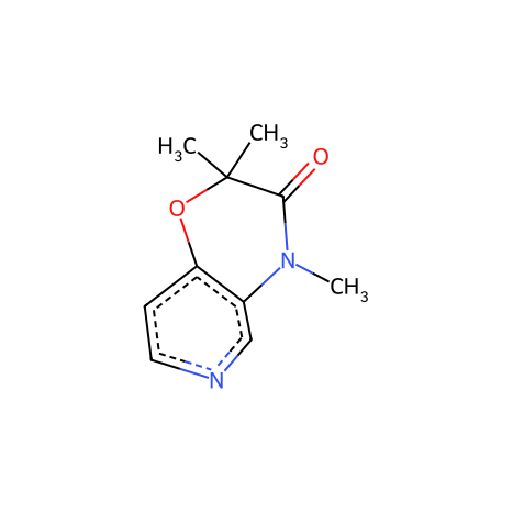 CN1C(=O)C(C)(C)Oc2ccncc21